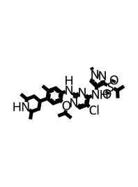 Cc1cc(Nc2ncc(Cl)c(Nc3cn(C)nc3S(=O)(=O)C(C)C)n2)c(OC(C)C)cc1C1CC(C)NC(C)C1